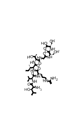 C=C(N)NCCC[C@@H](NC(=O)[C@@H](NC(=O)C(N)[C@H](O)C(C)C)C(C)C)C(=O)N[C@H](C(=O)N[C@H](C(=O)NCC(=O)N[C@@H](CO)C(=O)N[C@@H](CO)C(=O)O)[C@H](C)O)[C@@H](C)CC